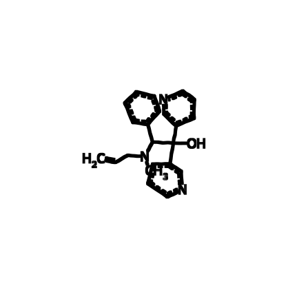 C=CCN(C)C(c1ccccc1)C(O)(c1cccnc1)c1cccnc1